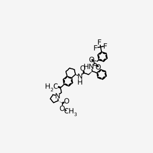 C=C(CN1CCC[C@H]1C(=O)OC)c1ccc2c(c1)CCC[C@H]2NC(=O)C[C@@H](NS(=O)(=O)c1cccc(C(F)(F)F)c1)c1ccccc1